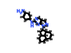 Nc1ccc(Nc2ncc3cnn([C@H]4Cc5cccc6cccc4c56)c3n2)cc1